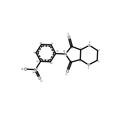 O=C1C2SCCSC2C(=O)N1c1cccc([N+](=O)[O-])c1